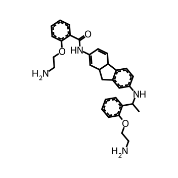 CC(Nc1ccc2c(c1)CC1C=C(NC(=O)c3ccccc3OCCN)C=CC21)c1ccccc1OCCN